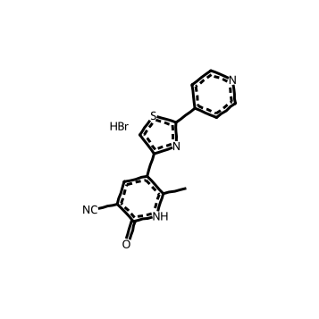 Br.Cc1[nH]c(=O)c(C#N)cc1-c1csc(-c2ccncc2)n1